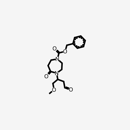 COCC(CC=O)N1CCN(C(=O)OCc2ccccc2)CCC1=O